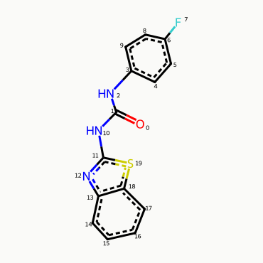 O=C(Nc1ccc(F)cc1)Nc1nc2ccccc2s1